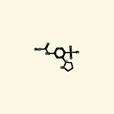 COC(=O)Nc1ccc(S(=O)(=O)C(C)C)c([C@H]2CCCN2)c1